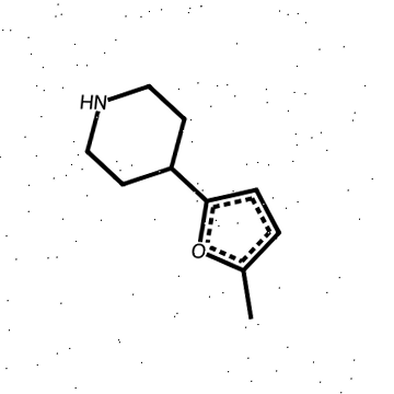 Cc1ccc(C2CCNCC2)o1